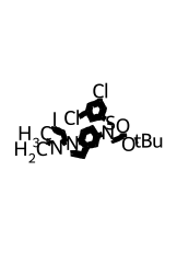 C=C/N=C(\C=C(/C)I)n1ccc2cc(N(CC(=O)OC(C)(C)C)Sc3cc(Cl)cc(Cl)c3)ccc21